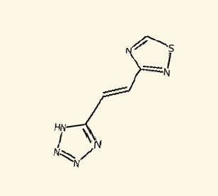 C(=Cc1nnn[nH]1)c1ncsn1